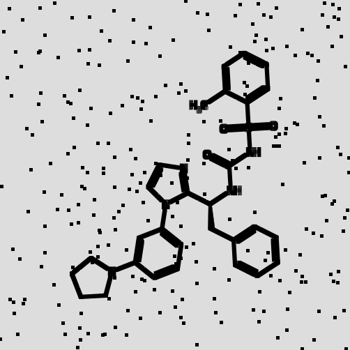 Cc1ccccc1S(=O)(=O)NC(=O)N[C@@H](Cc1ccccc1)c1nccn1-c1cccc(N2CCCC2)c1